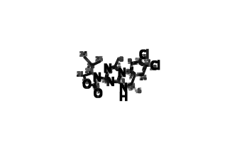 Cc1nc(N[C@@H](C)c2ccc(Cl)c(Cl)c2)nc(N2C(=O)OCC2C(C)C)n1